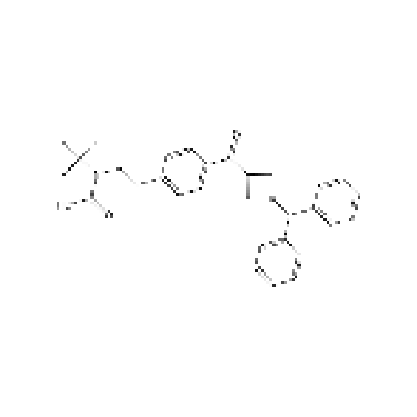 CC(C)(C)N(CCc1ccc(C(=O)C2CN(C(c3ccccc3)c3ccccc3)C2)cc1)C(=O)O